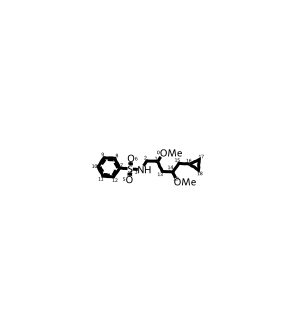 COC(CNS(=O)(=O)c1ccccc1)CC(CC1CC1)OC